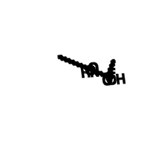 CCCCCCCCCCCCCCCCOC(=O)NCCCCCCC(CC)(CC(F)CCCCCC)C(=O)O